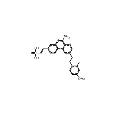 COc1ccc(CCc2cnc3c(N)nc4cc(/C=C/P(=O)(O)O)ccc4c3c2)c(C)c1